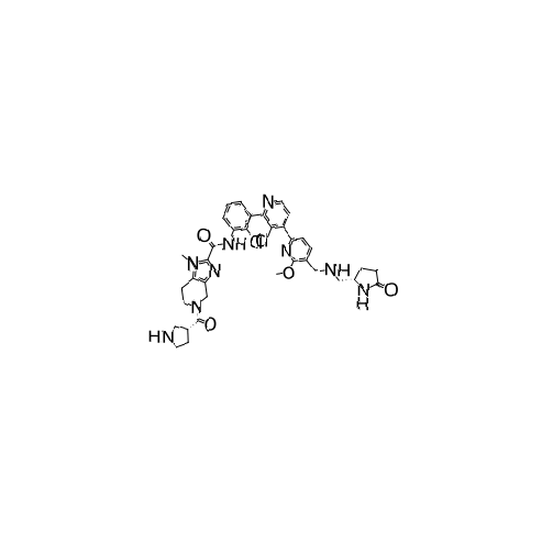 COc1nc(-c2ccnc(-c3cccc(NC(=O)c4nc5c(n4C)CCN(C(=O)[C@@H]4CCNC4)C5)c3Cl)c2Cl)ccc1CNC[C@@H]1CCC(=O)N1